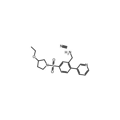 C#N.CCOC1CCN(S(=O)(=O)c2ccc(-c3cccnc3)c(CN)c2)C1